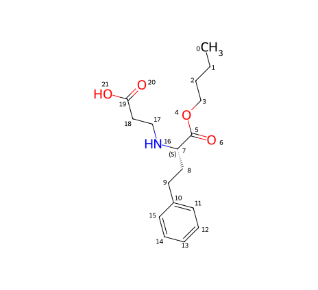 CCCCOC(=O)[C@H](CCc1ccccc1)NCCC(=O)O